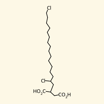 O=C(O)CC(CC(Cl)CCCCCCCCCCCCCCCl)C(=O)O